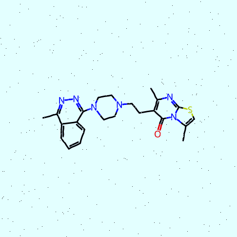 Cc1nc2scc(C)n2c(=O)c1CCN1CCN(c2nnc(C)c3ccccc23)CC1